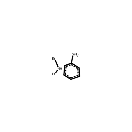 CCNCC.[SiH2]c1ccccc1